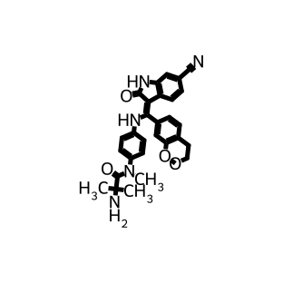 CN(C(=O)C(C)(C)N)c1ccc(N/C(=C2\C(=O)Nc3cc(C#N)ccc32)c2ccc3c(c2)OOCC3)cc1